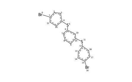 Brc1ccc(Sc2cccc(Sc3ccc(Br)cc3)c2)cc1